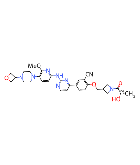 COc1nc(Nc2nccc(-c3ccc(OCC4CN(C(=O)[C@H](C)O)C4)c(C#N)c3)n2)ccc1N1CCN(C2COC2)CC1